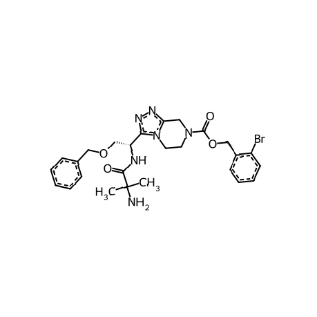 CC(C)(N)C(=O)N[C@H](COCc1ccccc1)c1nnc2n1CCN(C(=O)OCc1ccccc1Br)C2